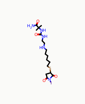 CC(C)(NC(=O)NCCNCCCCCCSC1CC(=O)N(I)C1=O)C(N)=O